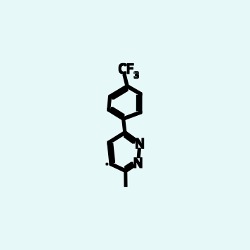 Cc1[c]cc(-c2ccc(C(F)(F)F)cc2)nn1